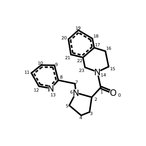 O=C(C1CCCN1Cc1ccccn1)N1CCc2ccccc2C1